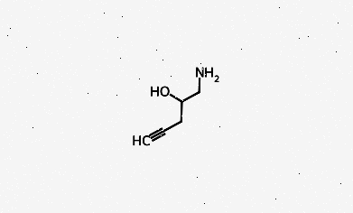 C#CCC(O)CN